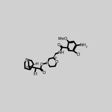 CCC(C(=O)ON1CCO[C@H](CNC(=O)c2cc(Cl)c(N)cc2OC)C1)[C@@H]1CN2CCC1CC2